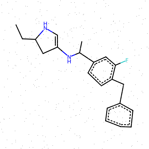 CCC1CC(NC(C)c2ccc(Cc3ccccc3)c(F)c2)=CN1